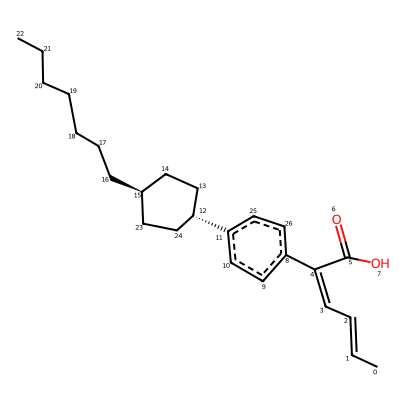 CC=CC=C(C(=O)O)c1ccc([C@H]2CC[C@H](CCCCCCC)CC2)cc1